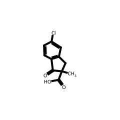 CC1(C(=O)O)Cc2cc(Cl)ccc2C1=O